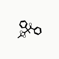 CC1OC(C(C)(C(=O)c2ccccc2)c2ccccc2)O1